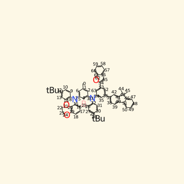 Cc1cc2c3c(c1)N(c1ccc(C(C)(C)C)cc1)c1c(ccc4c1OCCO4)B3c1cc(C(C)(C)C)ccc1N2c1cc(-c2ccc3c(c2)C(C)(C)c2ccccc2-3)cc(-c2cc3ccccc3o2)c1